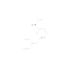 CNC(=O)c1ccc(Cl)c(CC(CN)N(C)C)c1